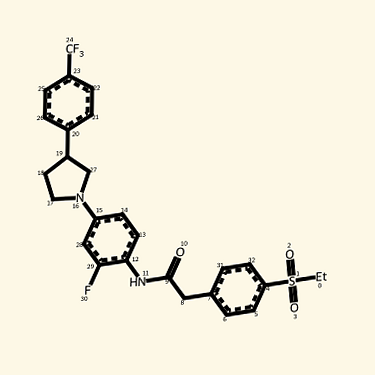 CCS(=O)(=O)c1ccc(CC(=O)Nc2ccc(N3CCC(c4ccc(C(F)(F)F)cc4)C3)cc2F)cc1